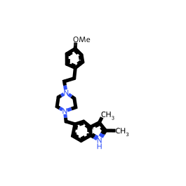 COc1ccc(CCN2CCN(Cc3ccc4[nH]c(C)c(C)c4c3)CC2)cc1